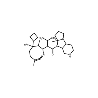 CCCC1(C2CCC2)CCC(F)=C=NC(C(C(=O)N2C3CNCCC3N3CCCC32C)C(N)N)C1C